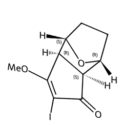 COC1=C(I)C(=O)[C@H]2[C@@H]1[C@@H]1CC[C@H]2O1